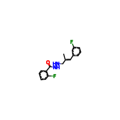 C/C(=C\c1cccc(F)c1)CNNC(=O)c1ccccc1F